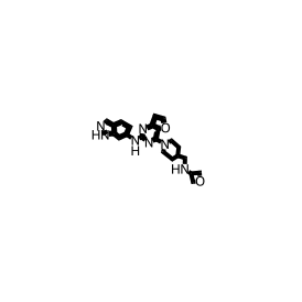 c1cc2nc(Nc3ccc4cn[nH]c4c3)nc(N3CCC(CNC4COC4)CC3)c2o1